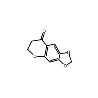 O=C1CCOc2cc3c(cc21)OCO3